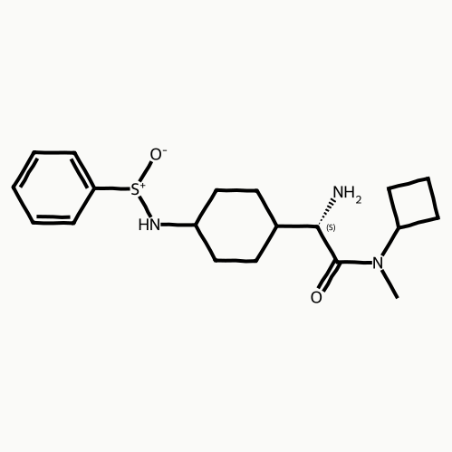 CN(C(=O)[C@@H](N)C1CCC(N[S+]([O-])c2ccccc2)CC1)C1CCC1